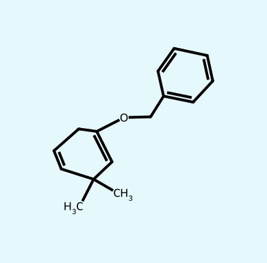 CC1(C)C=CCC(OCc2ccccc2)=C1